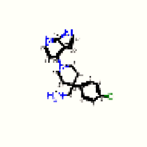 NCC1(c2ccc(Cl)cc2)CCN(c2ccnc3[nH]ccc23)CC1